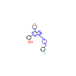 Oc1cccc(-c2nc(N3CCOCC3)c3nnn(CCN4CCN(Cc5cccc(F)c5)CC4)c3n2)c1